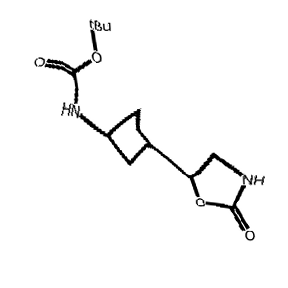 CC(C)(C)OC(=O)NC1CC(C2CNC(=O)O2)C1